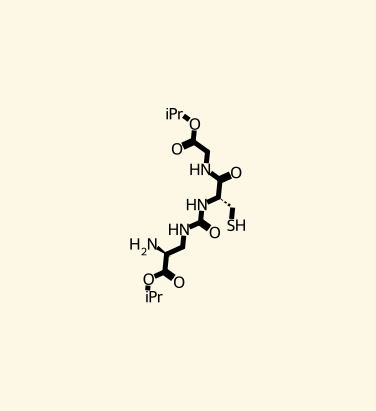 CC(C)OC(=O)CNC(=O)[C@H](CS)NC(=O)NC[C@H](N)C(=O)OC(C)C